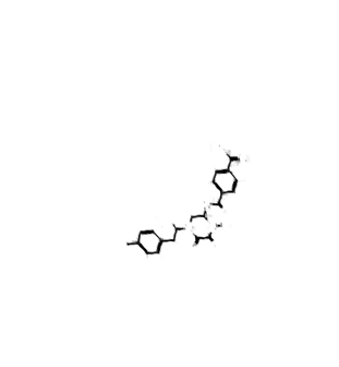 CCN1C(=O)C(=O)N(C(Cc2ccc(C)cc2)C(=O)O)CC1NC(=O)c1ccc(C(=N)N)cc1